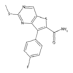 CSc1ncc2sc(C(N)=O)c(-c3ccc(F)cc3)c2n1